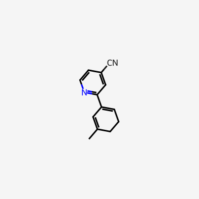 CC1=CC(c2cc(C#N)ccn2)=CCC1